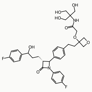 O=C(COC1(CCc2ccc(C3[C@@H](CCC(O)c4ccc(F)cc4)C(=O)N3c3ccc(F)cc3)cc2)COC1)NC(CO)(CO)CO